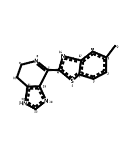 Cc1ccc2sc(C3=NCCc4[nH]cnc43)nc2c1